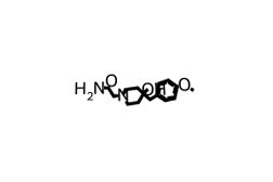 COc1ccc(CC2(O)CCN(CC(N)=O)CC2)cc1